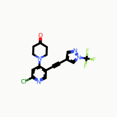 O=C1CCN(c2cc(Cl)ncc2C#Cc2cnn(C(F)(F)F)c2)CC1